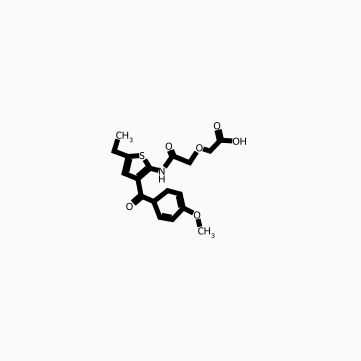 CCc1cc(C(=O)C2C=CC(OC)=CC2)c(NC(=O)COCC(=O)O)s1